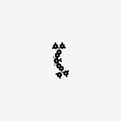 Cc1cc(C)cc(N(c2cc(C)cc(C)c2)c2ccc3cc4c(cc3c2)oc2cc3oc5cc6cc(N(c7cc(C)cc(C)c7)c7cc(C)cc(C)c7)ccc6cc5c3c(C(C)C)c24)c1